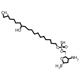 B[C@H]1CC(N)[C@@H](COP(=O)(S)OCCCCCCCCCCCC(O)CCCCCCC)O1